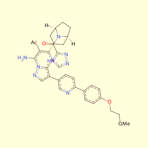 COCCOc1ccc(-c2ccc(-c3cnn4c(N)c(C(C)=O)c([C@@H]5C[C@H]6CC[C@@H](C5)N6C(=O)c5nnc[nH]5)nc34)cn2)cc1